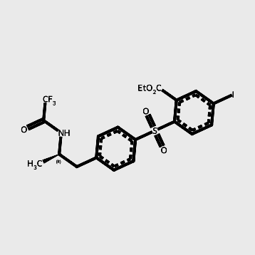 CCOC(=O)c1cc(I)ccc1S(=O)(=O)c1ccc(C[C@@H](C)NC(=O)C(F)(F)F)cc1